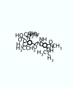 Br.CCN(CC)c1cc(C(=O)CN2Cc3cc(OC(C)C)c(C(=O)NC)cc3C2=N)cc(C(C)(C)C)c1OCC(=O)O